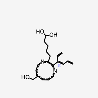 C=C/C=C(\C=C)c1ncccc(CO)ccnc1CCCCC(O)O